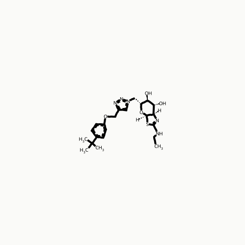 CCNC1=N[C@@H]2[C@@H](O)[C@H](O)[C@@H](Cn3cc(COc4ccc(C(C)(C)C)cc4)nn3)O[C@@H]2S1